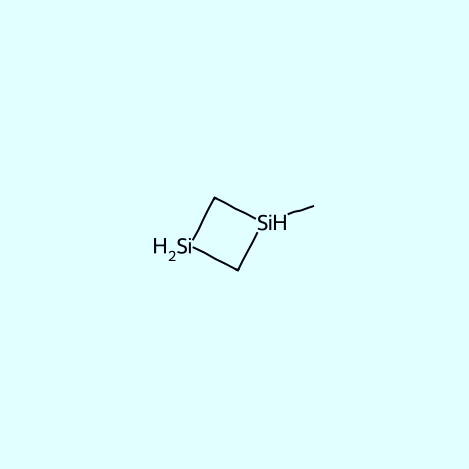 C[SiH]1C[SiH2]C1